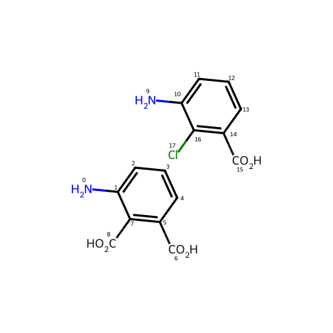 Nc1cccc(C(=O)O)c1C(=O)O.Nc1cccc(C(=O)O)c1Cl